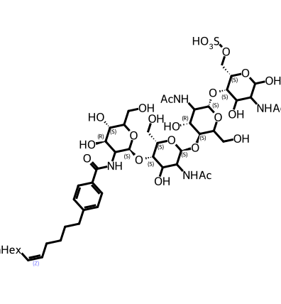 CCCCCC/C=C\CCCCc1ccc(C(=O)NC2[C@H](O[C@H]3C(O)C(NC(C)=O)[C@H](O[C@@H]4C(CO)O[C@@H](O[C@H]5C(O)C(NC(C)=O)C(O)O[C@H]5COS(=O)(=O)O)C(NC(C)=O)[C@H]4O)O[C@H]3CO)OC(CO)[C@@H](O)[C@@H]2O)cc1